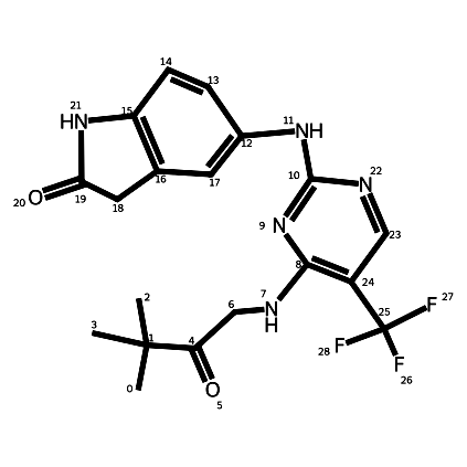 CC(C)(C)C(=O)CNc1nc(Nc2ccc3c(c2)CC(=O)N3)ncc1C(F)(F)F